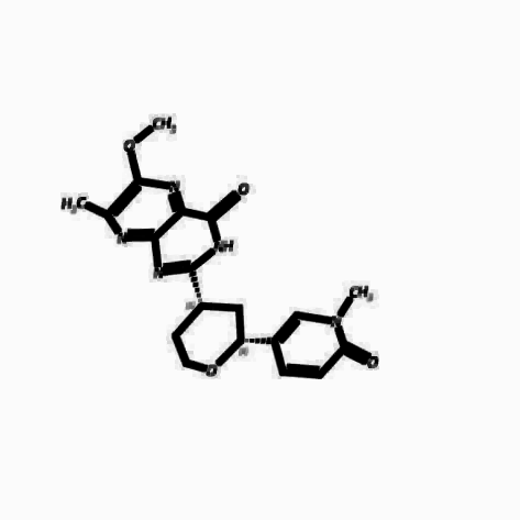 COc1nc2c(=O)[nH]c([C@H]3CCO[C@@H](c4ccc(=O)n(C)c4)C3)nc2nc1C